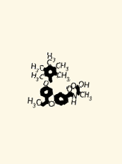 CCC(Oc1ccc(C(=O)NC(C)C(=O)O)cc1)c1ccc(OCc2c(C)c(C)c(C)c(C)c2C)cc1